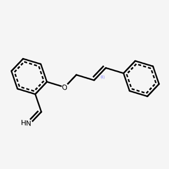 N=Cc1ccccc1OC/C=C/c1ccccc1